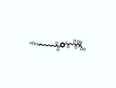 CCCCCCCCC=CCCCCCCCC(=O)Nc1ccc(SC(=O)CCNC(=O)C(O)C(C)(C)CO)cc1